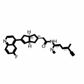 C#C/C(C)=C/C=C(\N=C)NC(=O)C[C@@H]1C[C@@H]2CC(c3ccnc4ccc(F)cc34)=C[C@@H]2C1